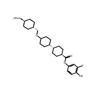 CCCCC[C@H]1CC[C@H](COC2CCC([C@H]3CC[C@H](C(=O)Oc4ccc(C#N)c(F)c4)CC3)CC2)CC1